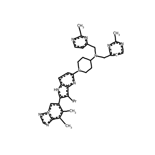 Cc1nccc(CN(Cc2ccnc(C)n2)C2CCN(c3ccc4[nH]c(-c5cn6ncnc6c(C)c5C)c(C(C)C)c4n3)CC2)n1